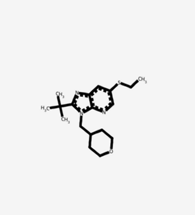 CCSc1cnc2c(c1)nc(C(C)(C)C)n2CC1CCOCC1